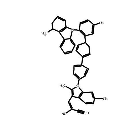 C#C/C(C#N)=C\c1c(C)n(-c2ccc(C3=CCC(c4cc(C#N)ccc4-n4c5c(c6ccccc64)C(C)CC=C5)C=C3)cc2)c2cc(C#N)ccc12